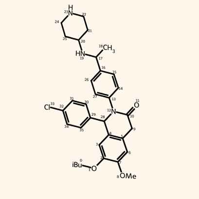 CCC(C)Oc1cc2c(cc1OC)CC(=O)N(c1ccc(C(C)NC3CCNCC3)cc1)C2c1ccc(Cl)cc1